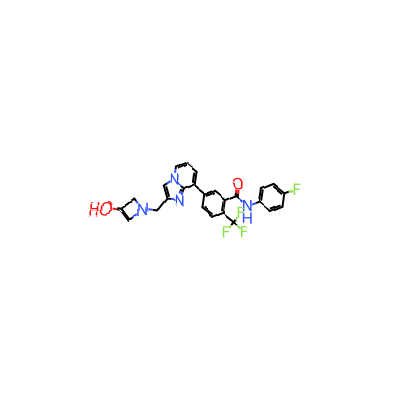 O=C(Nc1ccc(F)cc1)c1cc(-c2cccn3cc(CN4CC(O)C4)nc23)ccc1C(F)(F)F